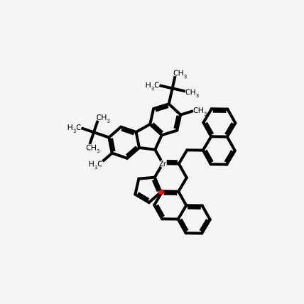 Cc1cc2c(cc1C(C)(C)C)-c1cc(C(C)(C)C)c(C)cc1[CH]2[Zr]([C]1=CC=CC1)=[C](Cc1cccc2ccccc12)Cc1cccc2ccccc12